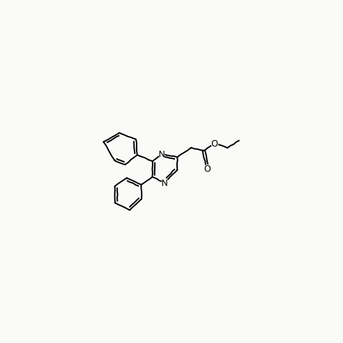 CCOC(=O)Cc1cnc(-c2ccccc2)c(-c2ccccc2)n1